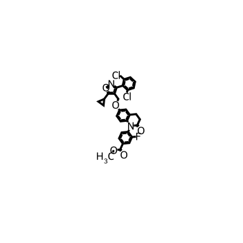 COC(=O)c1ccc(N2C(=O)CCc3cc(OCc4c(-c5c(Cl)cccc5Cl)noc4C4CC4)ccc32)c(F)c1